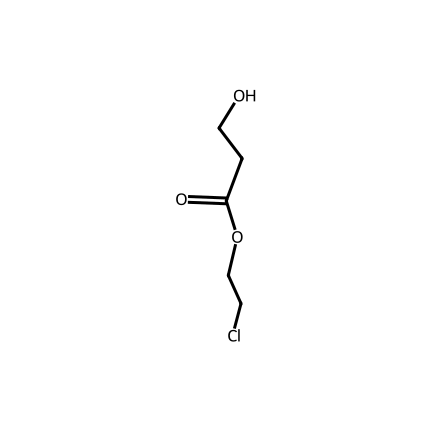 O=C(CCO)OCCCl